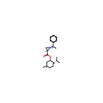 CC(C)[C@@H]1CC[C@@H](C)CC1OC(=O)[C@H]1CN1[C@H](C)c1ccccc1